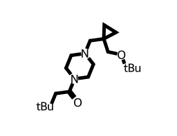 CC(C)(C)CC(=O)N1CCN(CC2(COC(C)(C)C)CC2)CC1